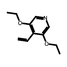 C=Cc1c(OCC)cncc1OCC